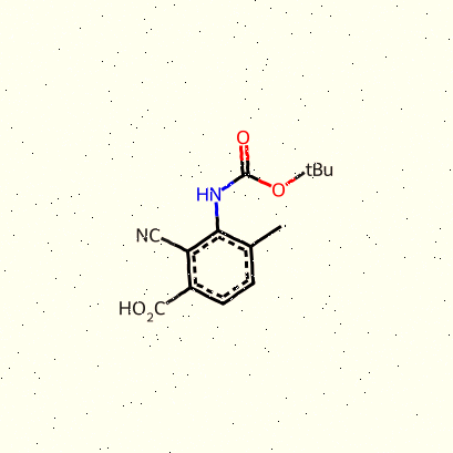 Cc1ccc(C(=O)O)c(C#N)c1NC(=O)OC(C)(C)C